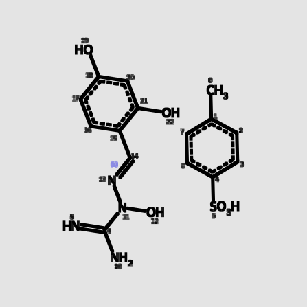 Cc1ccc(S(=O)(=O)O)cc1.N=C(N)N(O)/N=C/c1ccc(O)cc1O